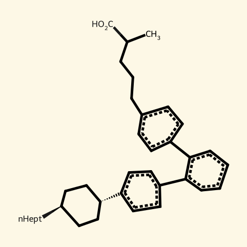 CCCCCCC[C@H]1CC[C@H](c2ccc(-c3ccccc3-c3ccc(CCCC(C)C(=O)O)cc3)cc2)CC1